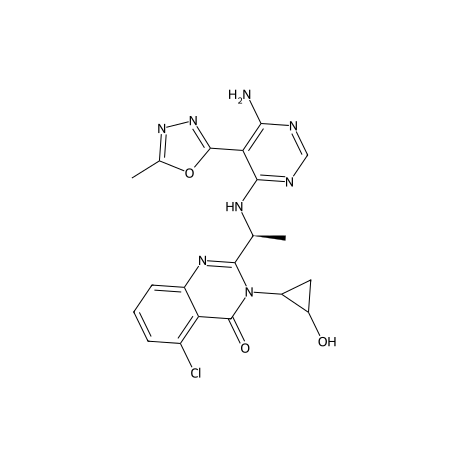 Cc1nnc(-c2c(N)ncnc2N[C@@H](C)c2nc3cccc(Cl)c3c(=O)n2C2CC2O)o1